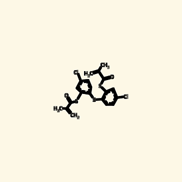 C=C(C)C(=O)Sc1cc(Cl)ccc1Sc1ccc(Cl)cc1SC(=O)C(=C)C